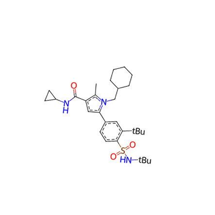 Cc1c(C(=O)NC2CC2)cc(-c2ccc(S(=O)(=O)NC(C)(C)C)c(C(C)(C)C)c2)n1CC1CCCCC1